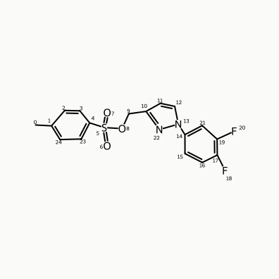 Cc1ccc(S(=O)(=O)OCc2ccn(-c3ccc(F)c(F)c3)n2)cc1